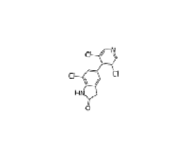 O=C1Cc2cc(-c3c(Cl)cncc3Cl)cc(Cl)c2N1